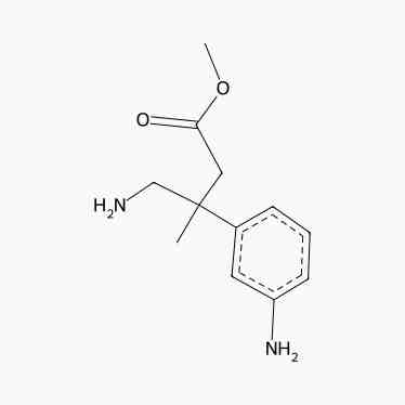 COC(=O)CC(C)(CN)c1cccc(N)c1